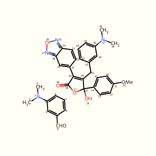 CN(C)c1cccc(C=O)c1.COc1ccc(C2(O)OC(=O)C(c3ccc4nonc4c3)=C2Cc2cccc(N(C)C)c2)cc1